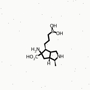 C[C@@H]1NCC2[C@H]1CC(N)(C(=O)O)[C@H]2CCCB(O)O